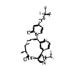 CC1CCCC(n2ccc(OSC(F)(F)F)cc2=O)c2cc(ccn2)-c2c(cnn2C(F)F)NC1=O